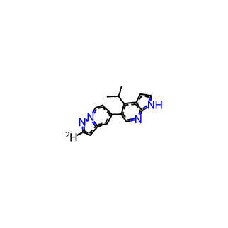 [2H]c1cc2cc(-c3cnc4[nH]ccc4c3C(C)C)ccn2n1